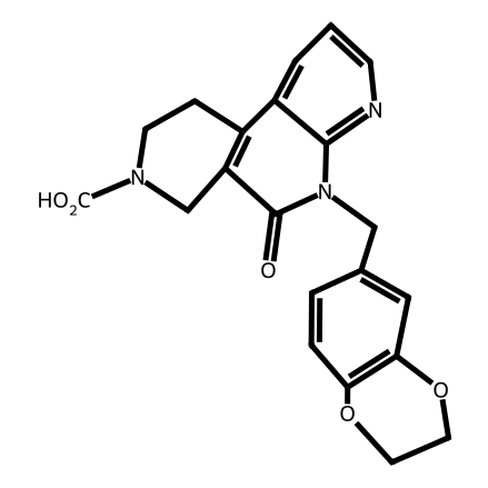 O=C(O)N1CCc2c(c(=O)n(Cc3ccc4c(c3)OCCO4)c3ncccc23)C1